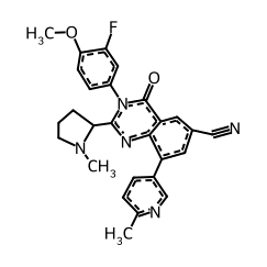 COc1ccc(-n2c(C3CCCN3C)nc3c(-c4ccc(C)nc4)cc(C#N)cc3c2=O)cc1F